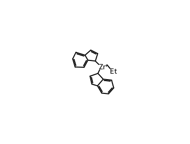 CC[CH]=[Zr]([CH]1C=Cc2ccccc21)[CH]1C=Cc2ccccc21